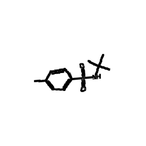 Cc1ccc(S(=O)(=O)NC(C)(C)C)cc1